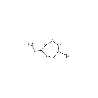 CCC1CCCC(CO)CC1